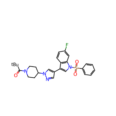 CC(C)(C)C(=O)N1CCC(n2cc(-c3cn(S(=O)(=O)c4ccccc4)c4cc(F)ccc34)cn2)CC1